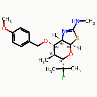 CNC1=N[C@@H]2[C@@H](OCc3ccc(OC)cc3)[C@H](C)[C@@H](C(C)(C)F)O[C@@H]2S1